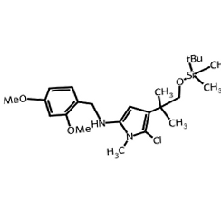 COc1ccc(CNc2cc(C(C)(C)CO[Si](C)(C)C(C)(C)C)c(Cl)n2C)c(OC)c1